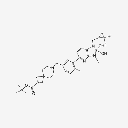 Cc1ccc(CN2CCC3(CC2)CN(C(=O)OC(C)(C)C)C3)cc1-c1ccc2c(n1)N(C)S(O)(O)N2CC1CC1(F)F